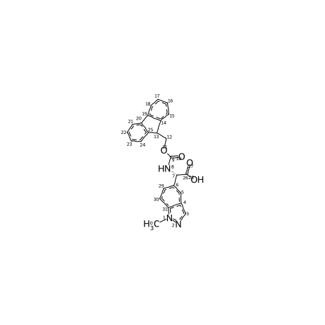 Cn1ncc2cc([C@H](NC(=O)OCC3c4ccccc4-c4ccccc43)C(=O)O)ccc21